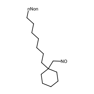 CCCCCCCCCCCCCCCCC1(CN=O)CCCCC1